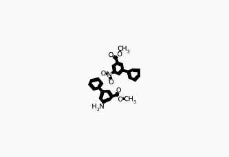 COC(=O)c1cc(-c2ccccc2)cc([N+](=O)[O-])c1.COC(=O)c1cc(N)cc(-c2ccccc2)c1